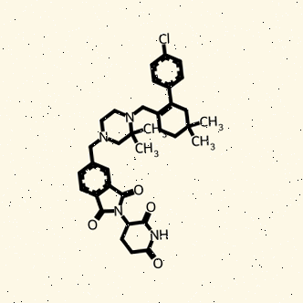 CC1(C)CCC(CN2CCN(Cc3ccc4c(c3)C(=O)N(C3CCC(=O)NC3=O)C4=O)CC2(C)C)=C(c2ccc(Cl)cc2)C1